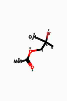 CNC(=O)OCC(C)(Br)[N+](=O)[O-]